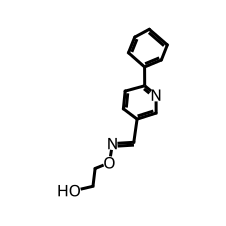 OCCO/N=C/c1ccc(-c2ccccc2)nc1